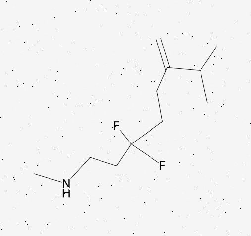 C=C(CCC(F)(F)CCNC)C(C)C